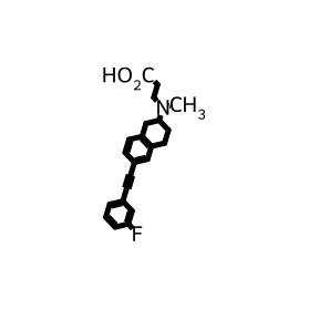 CN(CCC(=O)O)C1CCc2cc(C#Cc3cccc(F)c3)ccc2C1